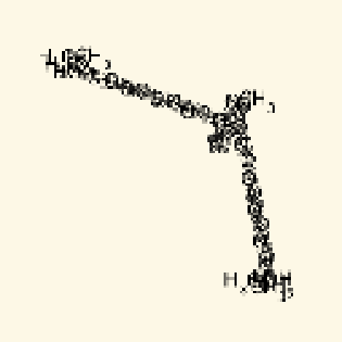 CCC(C)(C)OC(O)CCOCCOCCOCCOCCOCCOCCOCCOCCOC1CC(C(=O)OC)=CC(OCCOCCOCCOCCOCCOCCOCCOCCOCCC(O)OC(C)(C)C)=C1OCc1ccccc1